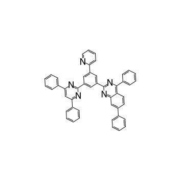 c1ccc(-c2ccc3c(-c4ccccc4)nc(-c4cc(-c5ccccn5)cc(-c5nc(-c6ccccc6)cc(-c6ccccc6)n5)c4)nc3c2)cc1